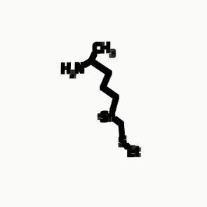 CCS[CH2][Sn][CH2]CCC(C)N